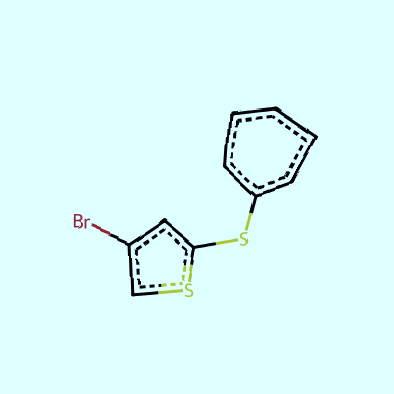 Brc1csc(Sc2ccccc2)c1